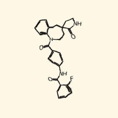 O=C(Nc1ccc(C(=O)N2CCC3(CCNC3=O)Cc3ccccc32)cc1)c1ccccc1F